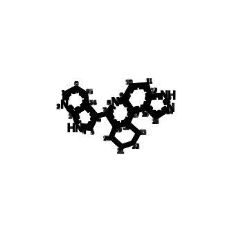 c1cnc2[nH]cc(-c3nc4ccc5[nH]ncc5c4c4c3CCCC4)c2c1